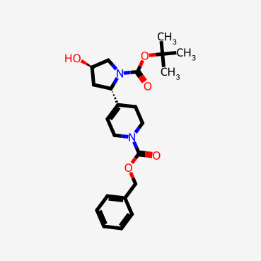 CC(C)(C)OC(=O)N1C[C@H](O)C[C@H]1C1=CCN(C(=O)OCc2ccccc2)CC1